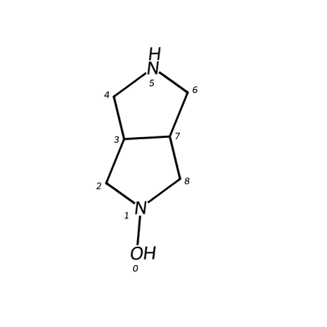 ON1CC2CNCC2C1